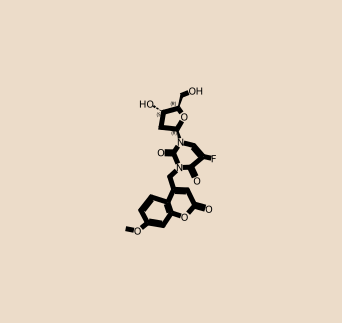 COc1ccc2c(Cn3c(=O)c(F)cn([C@H]4C[C@H](O)[C@@H](CO)O4)c3=O)cc(=O)oc2c1